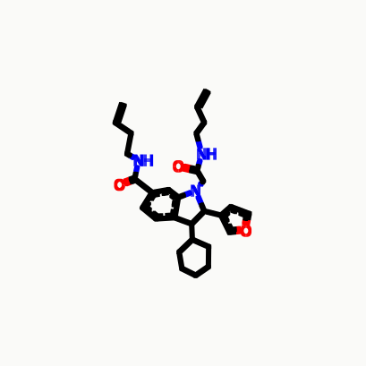 C=CCCNC(=O)CN1c2cc(C(=O)NCCC=C)ccc2C(C2CCCCC2)C1c1ccoc1